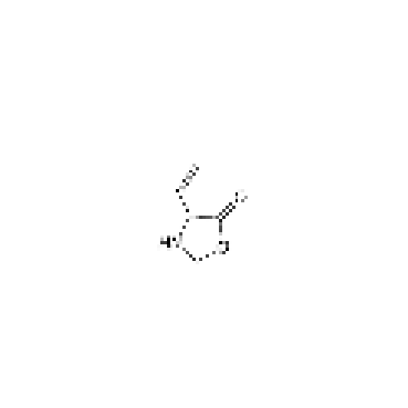 C=CC1NCOC1=O